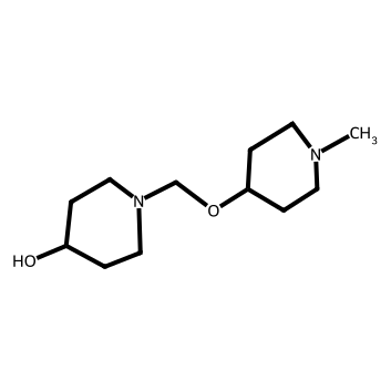 CN1CCC(OCN2CCC(O)CC2)CC1